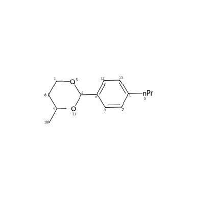 CCCc1ccc(C2OCCC(C)O2)cc1